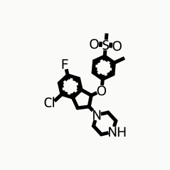 Cc1cc(OC2c3cc(F)cc(Cl)c3CC2N2CCNCC2)ccc1S(C)(=O)=O